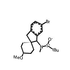 CO[C@H]1CC[C@]2(CC1)Cc1ccc(Br)cc1C2N(C)[S+]([O-])C(C)(C)C